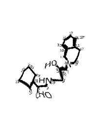 O=CC(CNC[C@@H](O)CN1CCc2ccccc2C1)C1CCCCC1